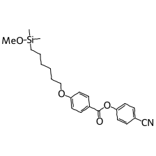 CO[Si](C)(C)CCCCCCOc1ccc(C(=O)Oc2ccc(C#N)cc2)cc1